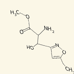 COC(=O)C(N)C(O)c1cc(C)on1